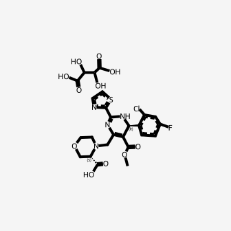 COC(=O)C1=C(CN2CCOC[C@H]2C(=O)O)N=C(c2nccs2)N[C@H]1c1ccc(F)cc1Cl.O=C(O)C(O)C(O)C(=O)O